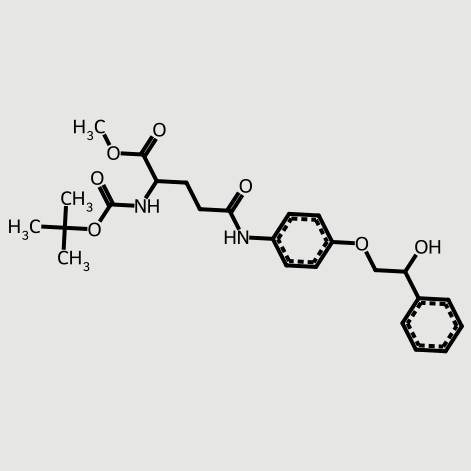 COC(=O)C(CCC(=O)Nc1ccc(OCC(O)c2ccccc2)cc1)NC(=O)OC(C)(C)C